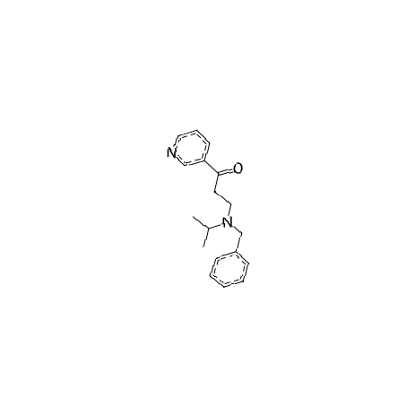 CC(C)N(CCC(=O)c1cccnc1)Cc1ccccc1